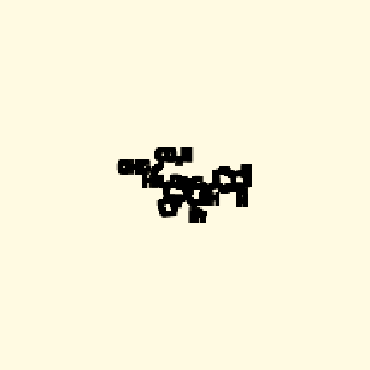 C=C(N[C@H](C(=O)N1CCCC1C(=O)N[C@H](C=O)CC(=O)O)C(C)C)c1ccc2nc[nH]c2c1